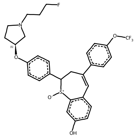 [O-][S+]1c2cc(O)ccc2C=C(c2ccc(OC(F)(F)F)cc2)CC1c1ccc(O[C@H]2CCN(CCCF)C2)cc1